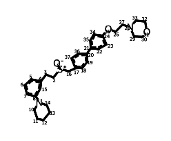 [O-][S+](CCc1cccc(N2CCCCC2)c1)Cc1ccc(-c2ccc(OCCN3CCOCC3)cc2)cc1